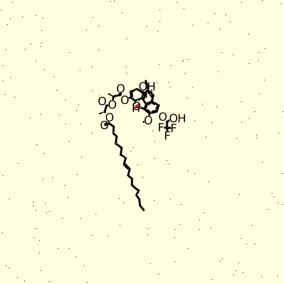 CCCCCCCCC=CCCCCCCCC(=O)O[C@@H](C)C(=O)O[C@@H](C)C(=O)OC1=CC[C@]2(O)C3Cc4ccc(OC)c5c4[C@@]2(CCN3C)[C@H]1O5.O=C(O)C(F)(F)F